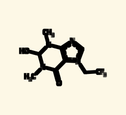 CN1C(=O)c2c(ncn2CC(F)(F)F)N(C)C1O